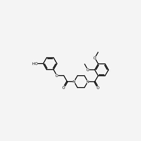 COc1cccc(C(=O)N2CCN(C(=O)COc3cccc(O)c3)CC2)c1OC